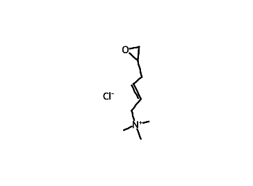 C[N+](C)(C)CC=CCC1CO1.[Cl-]